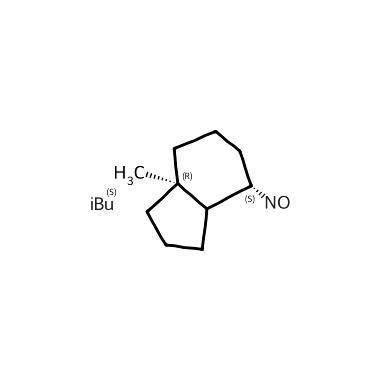 CC[C@H](C)C1CCC2[C@@H](N=O)CCC[C@@]21C